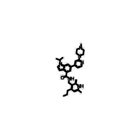 C=C1NC(C)=CC(CCC)=C1CNC(=O)c1cc(-c2ccnc(N3CCN(C)CC3)c2)cc2c1ccn2C(C)C